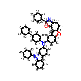 c1ccc(-c2ccc(N(c3ccc4oc5ccc6nc(-c7ccccc7)oc6c5c4c3)c3ccc4c5ccccc5n(-c5ccccc5)c4c3)cc2)cc1